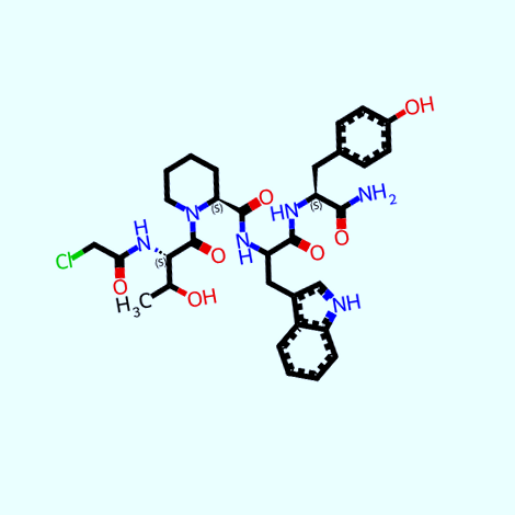 CC(O)[C@H](NC(=O)CCl)C(=O)N1CCCC[C@H]1C(=O)NC(Cc1c[nH]c2ccccc12)C(=O)N[C@@H](Cc1ccc(O)cc1)C(N)=O